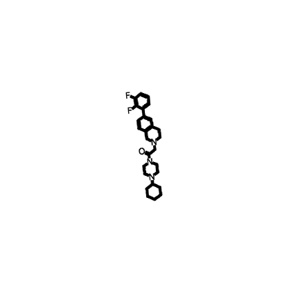 O=C(CN1CCc2cc(-c3cccc(F)c3F)ccc2C1)N1CCN(C2CCCCC2)CC1